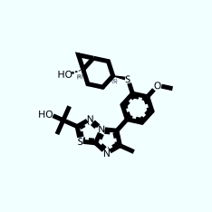 COc1ccc(-c2c(C)nc3sc(C(C)(C)O)nn23)cc1S[C@H]1CC[C@@]2(O)CC2C1